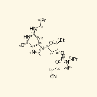 CC[C@@H]1O[C@@H](n2cnc3c(=O)[nH]c(NCC(C)C)nc32)C[C@H]1OP(OCCC#N)N(C(C)C)C(C)C